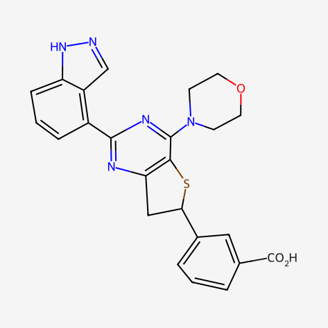 O=C(O)c1cccc(C2Cc3nc(-c4cccc5[nH]ncc45)nc(N4CCOCC4)c3S2)c1